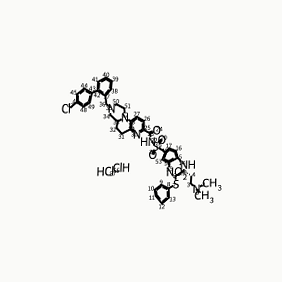 CN(C)CC[C@H](CSc1ccccc1)Nc1ccc(S(=O)(=O)NC(=O)c2ccc3c(n2)CCC2CN(Cc4ccccc4-c4ccc(Cl)cc4)CCN32)cc1[N+](=O)[O-].Cl.Cl